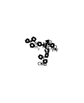 C[C@H]1COCCN1c1cc(C2(S(=O)(=O)c3ccc(OC(F)F)cc3)CC2)nc(-c2ccc(N)cc2)n1.[Cl][Pd][Cl].c1ccc(P(c2ccccc2)c2ccccc2)cc1.c1ccc(P(c2ccccc2)c2ccccc2)cc1